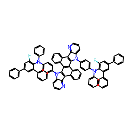 Fc1cc(-c2ccccc2)cc(-c2ccccc2)c1N(c1ccccc1)c1ccc(-n2c3cccnc3c3c4ccccc4c4c(c5ccccc5c5c6ncccc6n(-c6ccc(N(c7ccccc7)c7c(F)cc(-c8ccccc8)cc7-c7ccccc7)cc6)c54)c32)cc1